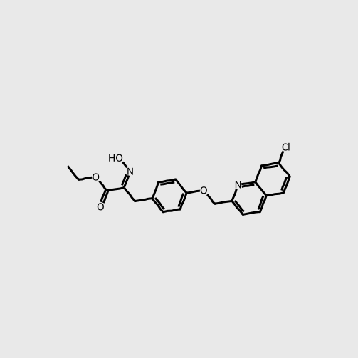 CCOC(=O)C(Cc1ccc(OCc2ccc3ccc(Cl)cc3n2)cc1)=NO